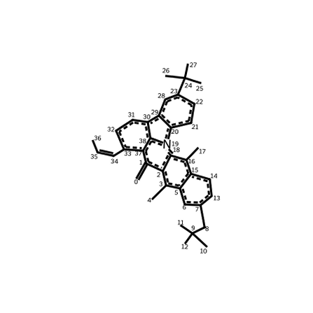 C=c1c2c(C)c3cc(CC(C)(C)C)ccc3c(C)c2n2c3ccc(C(C)(C)C)cc3c3ccc(/C=C\C)c1c32